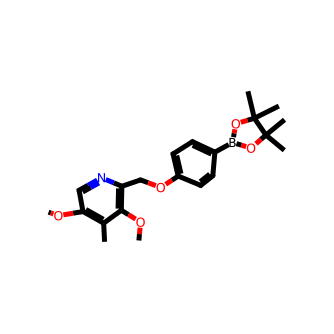 COc1cnc(COc2ccc(B3OC(C)(C)C(C)(C)O3)cc2)c(OC)c1C